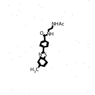 CC(=O)NCCNC(=O)c1ccc(-c2nc3cc(C)ccc3s2)cc1